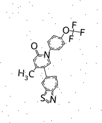 Cc1cc(=O)n(-c2ccc(OC(F)(F)F)cc2)cc1-c1ccc2ncsc2c1